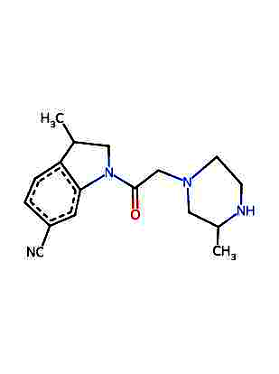 CC1CN(CC(=O)N2CC(C)c3ccc(C#N)cc32)CCN1